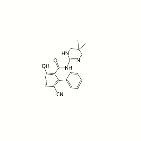 CC1(C)CN=C(NC(=O)c2c(O)ccc(C#N)c2-c2ccccc2)NC1